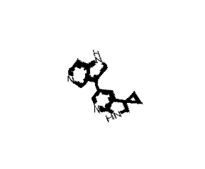 c1cc2[nH]cc(-c3cnc4c(c3)C3(CC3)CN4)c2cn1